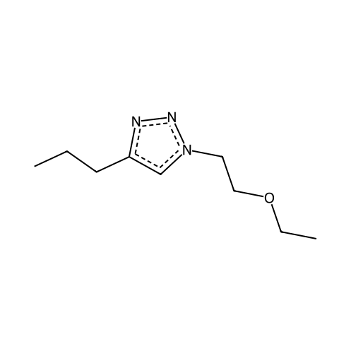 CCCc1cn(CCOCC)nn1